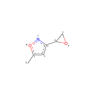 Cc1cc(C2CO2)no1